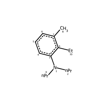 CCCN(CCC)c1cccc(C)c1CC